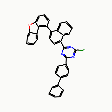 Clc1nc(-c2ccc(-c3ccccc3)cc2)nc(-c2ccc(-c3cccc4oc5ccccc5c34)c3ccccc23)n1